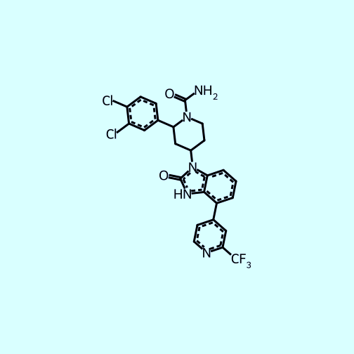 NC(=O)N1CCC(n2c(=O)[nH]c3c(-c4ccnc(C(F)(F)F)c4)cccc32)CC1c1ccc(Cl)c(Cl)c1